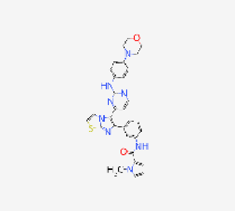 Cn1cccc1C(=O)Nc1cccc(-c2nc3sccn3c2-c2ccnc(Nc3ccc(N4CCOCC4)cc3)n2)c1